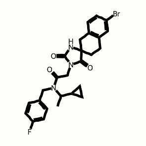 CC(C1CC1)N(Cc1ccc(F)cc1)C(=O)CN1C(=O)NC2(CCc3cc(Br)ccc3C2)C1=O